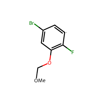 COCOc1cc(Br)c[c]c1F